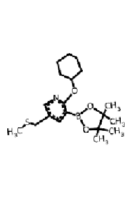 CSCc1cnc(OC2CCCCC2)c(B2OC(C)(C)C(C)(C)O2)c1